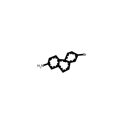 Nc1ccc2c(ccc3cc(Br)ccc32)c1